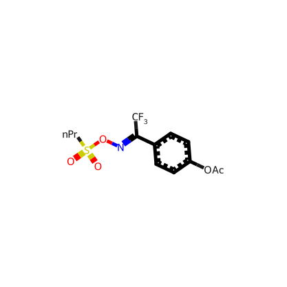 CCCS(=O)(=O)ON=C(c1ccc(OC(C)=O)cc1)C(F)(F)F